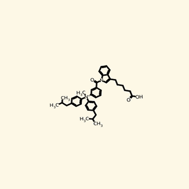 CC(C)Cc1ccc([N+](C)(c2ccc(CC(C)C)cc2)c2cccc(C(=O)n3cc(CCCCCC(=O)O)c4ccccc43)c2)cc1